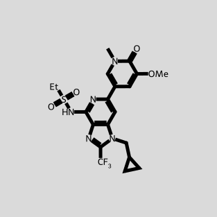 CCS(=O)(=O)Nc1nc(-c2cc(OC)c(=O)n(C)c2)cc2c1nc(C(F)(F)F)n2CC1CC1